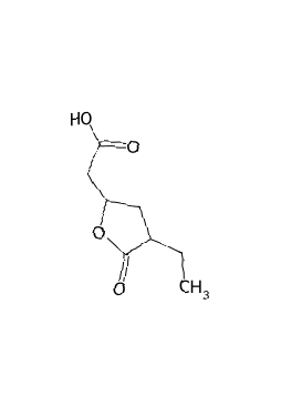 CCC1CC(CC(=O)O)OC1=O